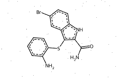 NC(=O)c1[nH]c2ccc(Br)cc2c1Sc1ccccc1N